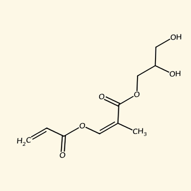 C=CC(=O)OC=C(C)C(=O)OCC(O)CO